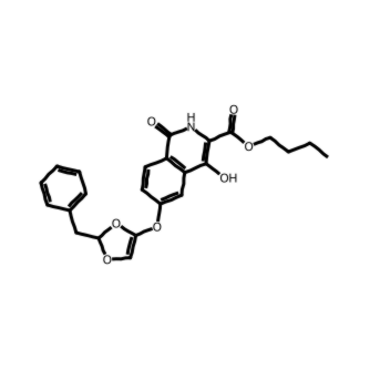 CCCCOC(=O)c1[nH]c(=O)c2ccc(OC3=COC(Cc4ccccc4)O3)cc2c1O